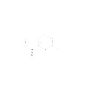 CCN(C)C(=O)c1cccc(CI)c1